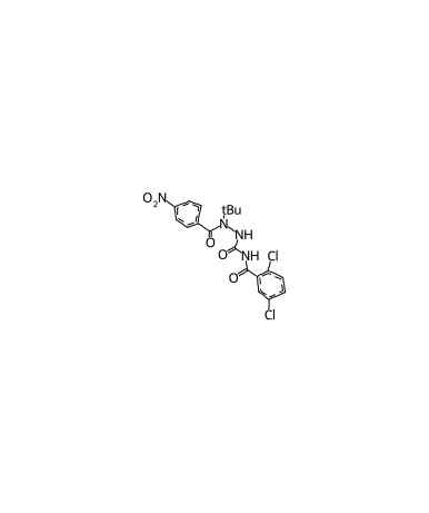 CC(C)(C)N(NC(=O)NC(=O)c1cc(Cl)ccc1Cl)C(=O)c1ccc([N+](=O)[O-])cc1